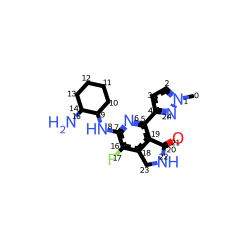 Cn1ccc(-c2nc(NC3CCCCC3N)c(F)c3c2C(=O)NC3)n1